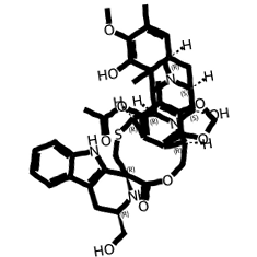 COC1=C(O)C2(C)C3[C@@H]4[C@@H]5SC[C@]6(N[C@@H](CO)Cc7c6[nH]c6ccccc76)C(=O)OC[C@@H](c6c7c(c(C)c(OC(C)=O)c65)OCO7)N4[C@@H](O)[C@H](C[C@@H]2C=C1C)N3C